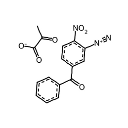 CC(=O)C(=O)[O-].N#[N+]c1cc(C(=O)c2ccccc2)ccc1[N+](=O)[O-]